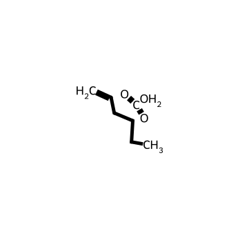 C=CCCCC.O.O=C=O